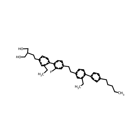 CCCCCc1ccc(-c2ccc(CCc3ccc(-c4ccc(CCC(CO)CO)cc4CC)c(F)c3)cc2CC)cc1